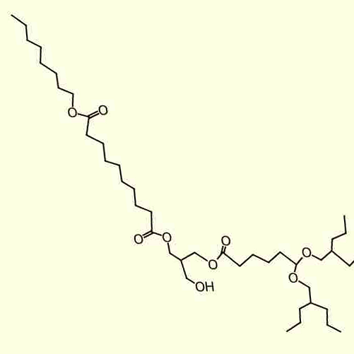 CCCCCCCCOC(=O)CCCCCCCCC(=O)OCC(CO)COC(=O)CCCCC(OCC(CCC)CCC)OCC(CCC)CCC